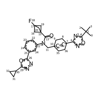 CC(C)(C)c1nc(C23CCC(CN(C(=O)C45CC(F)(C4)C5)c4cccc(-c5nnc(C6CC6)o5)c4)(CC2)CC3)no1